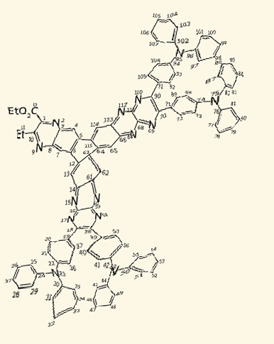 CCOC(=O)c1nc2cc3c(cc2nc1CC)c1cc2nc4nc(-c5ccc(N(c6ccccc6)c6ccccc6)cc5)c(-c5ccc(N(c6ccccc6)c6ccccc6)cc5)nc4nc2cc1c1cc2nc4nc(-c5ccc(N(c6ccccc6)c6ccccc6)cc5)c(-c5ccc(N(c6ccccc6)c6ccccc6)cc5)nc4nc2cc31